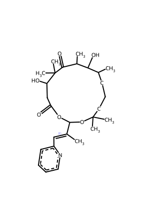 C/C(=C\c1ccccn1)C1OC(=O)CC(O)C(C)(C)C(=O)C(C)C(O)C(C)CCCC(C)(C)O1